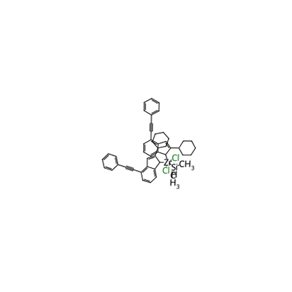 C[SiH](C)[Zr]([Cl])([Cl])([CH]1C(C2CCCCC2)=Cc2c(C#Cc3ccccc3)cccc21)[CH]1C(C2CCCCC2)=Cc2c(C#Cc3ccccc3)cccc21